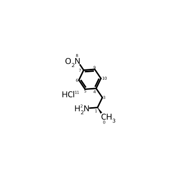 C[C@@H](N)Cc1ccc([N+](=O)[O-])cc1.Cl